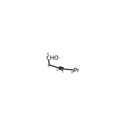 CC(C)C#CC[C]=O